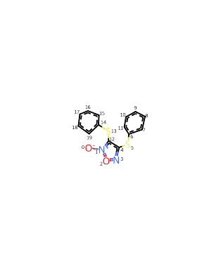 [O-][n+]1onc(Sc2ccccc2)c1Sc1ccccc1